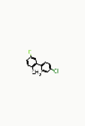 [CH2]c1ccc(F)cc1-c1ccc(Cl)cc1